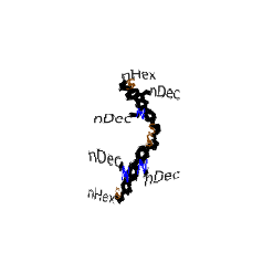 CCCCCCCCCCCCC1c2cc(-c3ccc(CCCCCC)s3)ccc2-c2cc3c(cc21)c1ccc(-c2ccc(-c4ccc(-c5ccc6c7cc8c(cc7n(CCCCCCCCCCCC)c6c5)c5ccc(-c6ccc(CCCCCC)s6)cc5n8CCCCCCCCCCCC)s4)s2)cc1n3CCCCCCCCCCCC